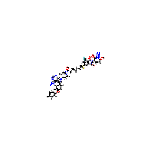 Nc1ncnc2c1c(-c1ccc(Oc3ccccc3)cc1)nn2C1CCN(C(=O)CCCCCCSc2cc(F)c3c(c2)C(=O)N(C2CCC(=O)NC2=O)C3=O)CC1